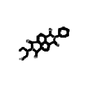 CCC(CO)N1C(=O)c2ccc3c4c(ccc(c24)C1=O)C(=O)N(c1ccccc1)C3=O